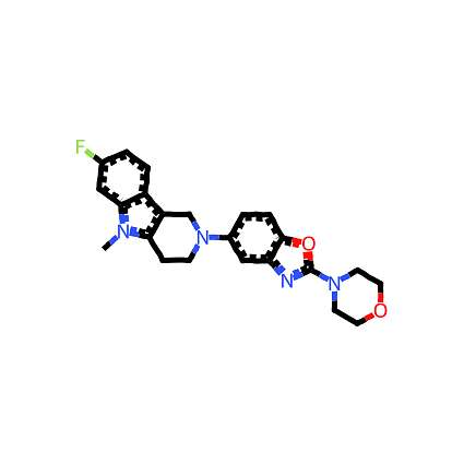 Cn1c2c(c3ccc(F)cc31)CN(c1ccc3oc(N4CCOCC4)nc3c1)CC2